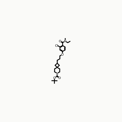 CCN(C)C(=O)c1ccc(OCCCC2CC3(CCN(C(=O)OC(C)(C)C)CC3)C2)cc1Cl